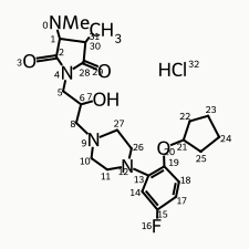 CNC1C(=O)N(CC(O)CN2CCN(c3cc(F)ccc3OC3CCCC3)CC2)C(=O)C1C.Cl